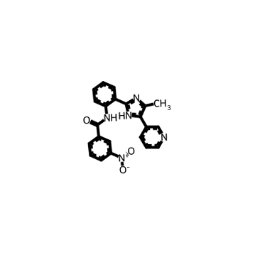 Cc1nc(-c2ccccc2NC(=O)c2cccc([N+](=O)[O-])c2)[nH]c1-c1cccnc1